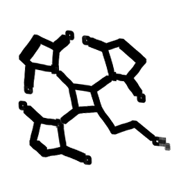 CCCC1C(N2C(=O)C=CC2=O)C(N2C(=O)C=CC2=O)C1N1C(=O)C=CC1=O